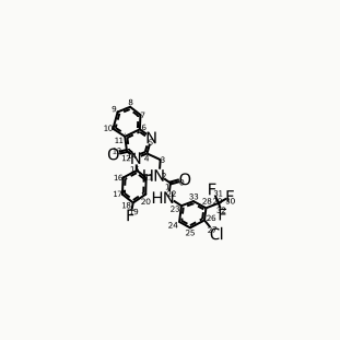 O=C(NCc1nc2ccccc2c(=O)n1-c1ccc(F)cc1)Nc1ccc(Cl)c(C(F)(F)F)c1